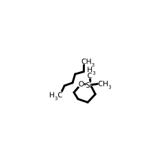 CCCCCC.C[Si]1(C)CCCCO1